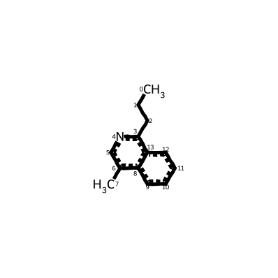 CCCc1ncc(C)c2ccccc12